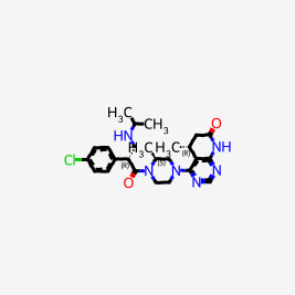 CC(C)NC[C@H](C(=O)N1CCN(c2ncnc3c2[C@H](C)CC(=O)N3)C[C@@H]1C)c1ccc(Cl)cc1